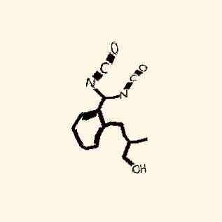 CC(CO)Cc1ccccc1C(N=C=O)N=C=O